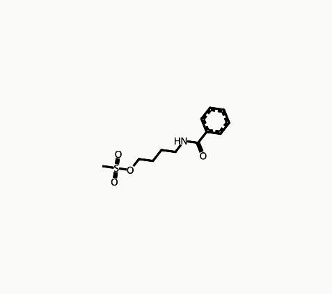 CS(=O)(=O)OCCCCNC(=O)c1ccccc1